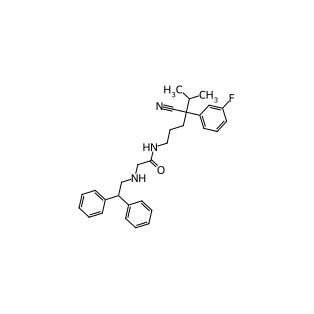 CC(C)C(C#N)(CCCNC(=O)CNCC(c1ccccc1)c1ccccc1)c1cccc(F)c1